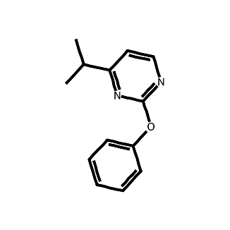 CC(C)c1ccnc(Oc2ccccc2)n1